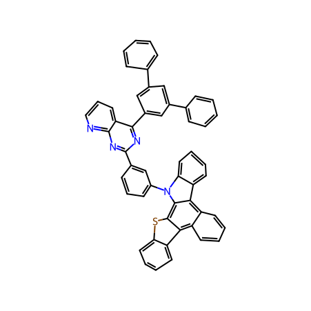 c1ccc(-c2cc(-c3ccccc3)cc(-c3nc(-c4cccc(-n5c6ccccc6c6c7ccccc7c7c8ccccc8sc7c65)c4)nc4ncccc34)c2)cc1